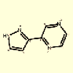 c1cnc(-c2cc[nH]n2)cn1